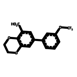 O=C(O)c1cc(-c2cccc(OC(F)(F)F)c2)cc2c1OCCO2